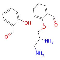 NCC(N)COc1ccccc1C=O.O=Cc1ccccc1O